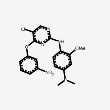 COc1cc(P(C)C)ccc1Nc1ncc(Cl)c(Oc2cccc(N)c2)n1